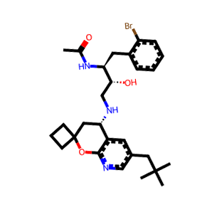 CC(=O)N[C@@H](Cc1ccccc1Br)[C@H](O)CN[C@H]1CC2(CCC2)Oc2ncc(CC(C)(C)C)cc21